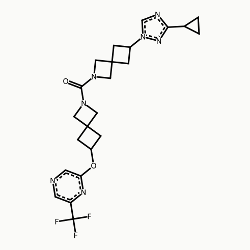 O=C(N1CC2(CC(Oc3cncc(C(F)(F)F)n3)C2)C1)N1CC2(CC(n3cnc(C4CC4)n3)C2)C1